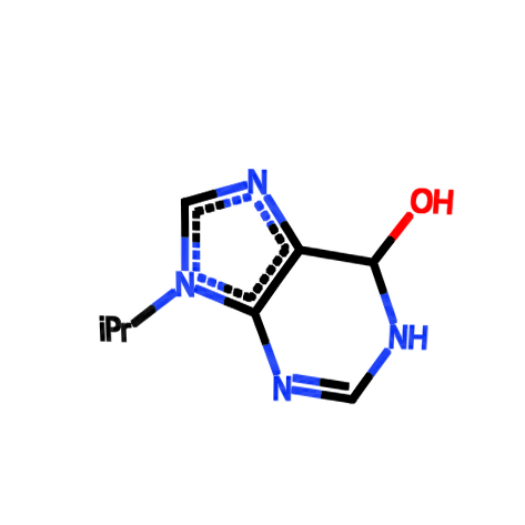 CC(C)n1cnc2c1N=CNC2O